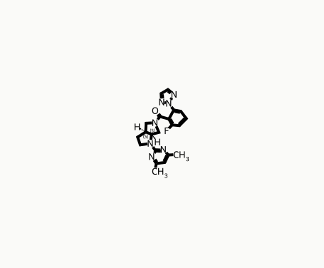 Cc1cc(C)nc(N2CC[C@H]3CN(C(=O)c4c(F)cccc4-n4nccn4)C[C@H]32)n1